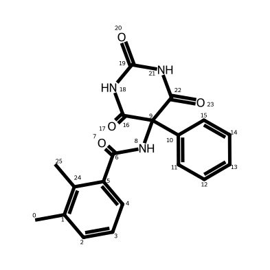 Cc1cccc(C(=O)NC2(c3ccccc3)C(=O)NC(=O)NC2=O)c1C